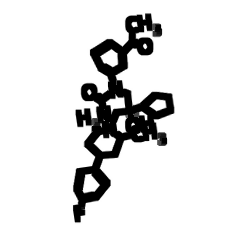 CC(=O)c1cccc(N(C[C@](O)(CN2CCC(c3ccc(F)cc3)CC2C)C2CCCC2)C(N)=O)c1